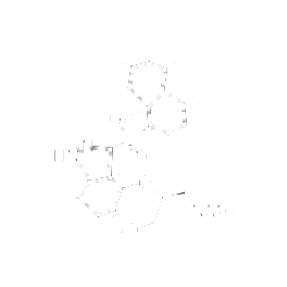 CNC[C@H]1COc2ccc3[nH]nc(S(=O)(=O)c4cccc5ccccc45)c3c2O1